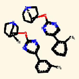 Cc1cccc(-c2cnc(O[C@H]3CN4CCC3CC4)nc2)c1.Cc1ccccc1-c1cnc(OC2CN3CCC2CC3)nc1